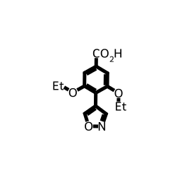 CCOc1cc(C(=O)O)cc(OCC)c1-c1cnoc1